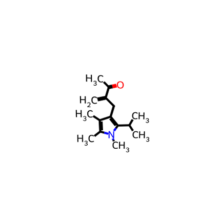 C=C(Cc1c(C)c(C)n(C)c1C(C)C)C(C)=O